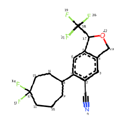 N#Cc1cc2c(cc1C1CCCC(F)(F)CC1)C(C(F)(F)F)OC2